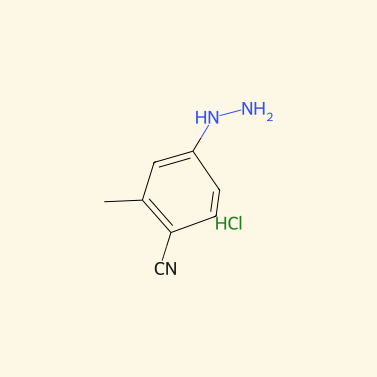 Cc1cc(NN)ccc1C#N.Cl